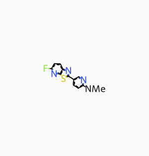 CNc1ccc(-c2nc3ccc(F)nc3s2)cn1